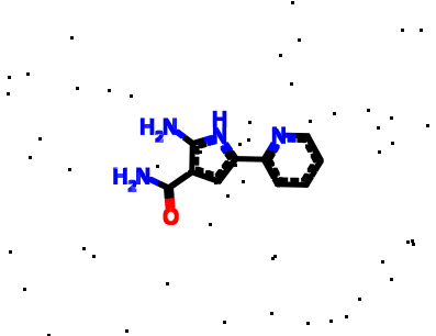 NC(=O)c1cc(-c2ccccn2)[nH]c1N